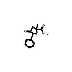 CC1(C(N)=O)CC(=O)C(c2ccccc2)O1